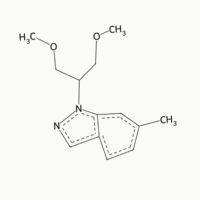 COCC(COC)n1ncc2ccc(C)cc21